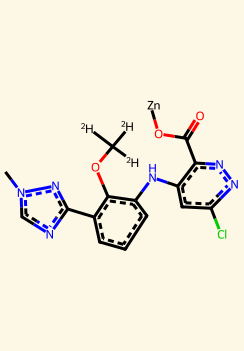 [2H]C([2H])([2H])Oc1c(Nc2cc(Cl)nnc2C(=O)[O][Zn])cccc1-c1ncn(C)n1